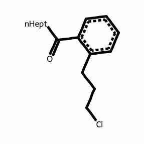 CCCCCCCC(=O)c1ccccc1CCCCl